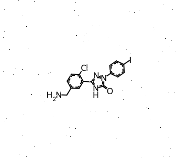 NCc1ccc(Cl)c(-c2nn(-c3ccc(I)cc3)c(=O)[nH]2)c1